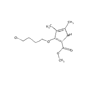 COC(=O)c1[nH]c(C)c(C)c1OCCCCCl